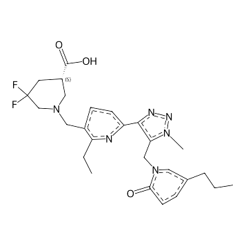 CCCc1ccc(=O)n(Cc2c(-c3ccc(CN4C[C@@H](C(=O)O)CC(F)(F)C4)c(CC)n3)nnn2C)c1